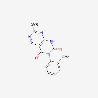 COc1ccccc1-n1c(=O)[nH]c2nc(SC)ncc2c1=O